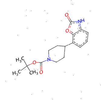 CC(C)(C)OC(=O)N1CCC(c2cccc3[nH]c(=O)oc23)CC1